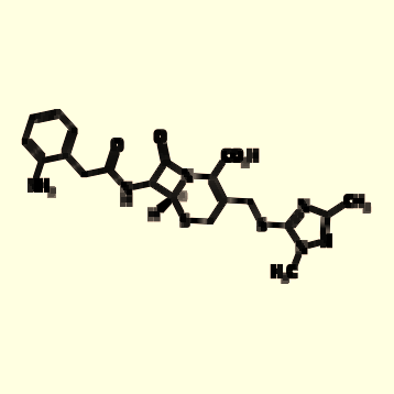 Cc1nc(SCC2=C(C(=O)O)N3C(=O)C(NC(=O)Cc4ccccc4N)[C@H]3SC2)n(C)n1